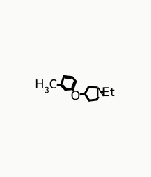 CCN1CCC(Oc2cccc(C)c2)CC1